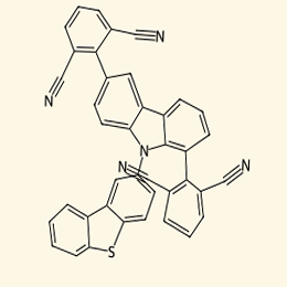 N#Cc1cccc(C#N)c1-c1ccc2c(c1)c1cccc(-c3c(C#N)cccc3C#N)c1n2-c1ccc2sc3ccccc3c2c1